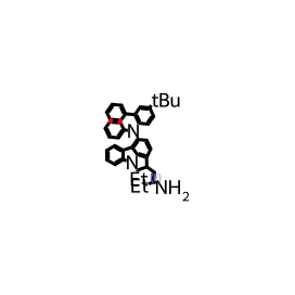 CC/C(N)=C\C1c2ccc(N(c3ccccc3)c3ccc(C(C)(C)C)cc3-c3ccccc3)c3c4ccccc4n(c23)C1CC